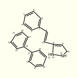 C(=Cc1ccccc1)C1=CCNN1.c1ccc(-c2ccccc2)cc1